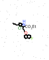 C/C=C/Cc1ccc2[nH]c(C(=O)OCC)c(CCCOc3cccc4cc(F)ccc34)c2c1Cl